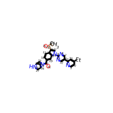 CCc1ccnc(-c2cnc(-n3cc([S+](C)[O-])c4ccc(C(=O)N5CC6CC5CN6)cc43)nc2)c1